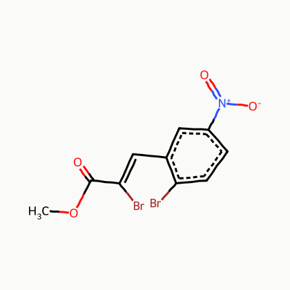 COC(=O)/C(Br)=C/c1cc([N+](=O)[O-])ccc1Br